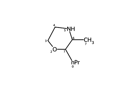 CCCC1OCCNC1C